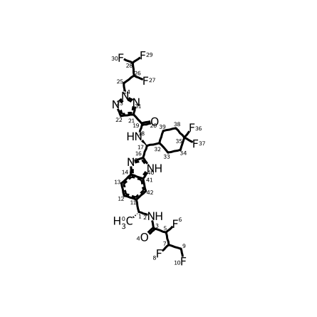 C[C@@H](NC(=O)C(F)C(F)CF)c1ccc2nc([C@@H](NC(=O)c3cnn(CC(F)C(F)F)n3)C3CCC(F)(F)CC3)[nH]c2c1